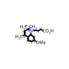 COc1ccc2c(c1)N(CCCC(=O)O)C(C)(C)C=C2C